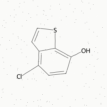 Oc1ccc(Cl)c2ccsc12